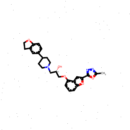 Cc1nnc(-c2cc3c(OC[C@@H](O)CN4CCC(c5ccc6c(c5)CCO6)CC4)cccc3o2)o1